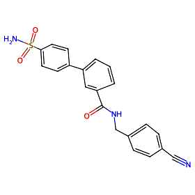 N#Cc1ccc(CNC(=O)c2cccc(-c3ccc(S(N)(=O)=O)cc3)c2)cc1